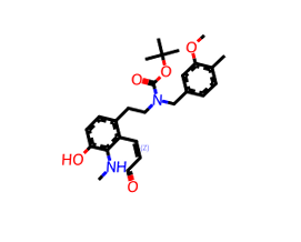 CNc1c(O)ccc(CCN(Cc2ccc(C)c(OC)c2)C(=O)OC(C)(C)C)c1/C=C\C=O